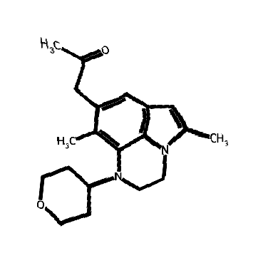 CC(=O)Cc1cc2cc(C)n3c2c(c1C)N(C1CCOCC1)CC3